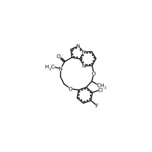 CC1Oc2ccn3ncc(c3n2)C(=O)N(C)CCOc2ccc(F)c(Cl)c21